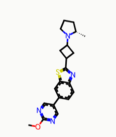 COc1ncc(-c2ccc3nc(C4CC(N5CCC[C@@H]5C)C4)sc3c2)cn1